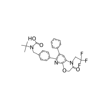 CC(C)(C)N(Cc1ccc(-c2nc3c(cc2-c2ccccc2)N(CC(F)(F)F)C(=O)CO3)cc1)C(=O)O